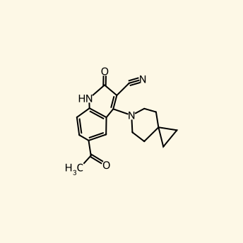 CC(=O)c1ccc2[nH]c(=O)c(C#N)c(N3CCC4(CC3)CC4)c2c1